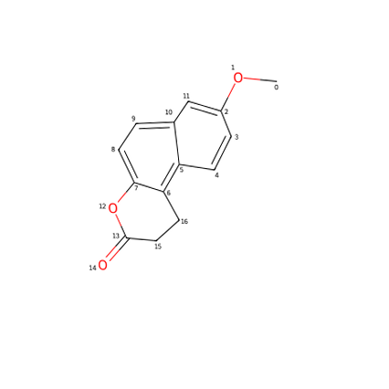 COc1ccc2c3c(ccc2c1)OC(=O)CC3